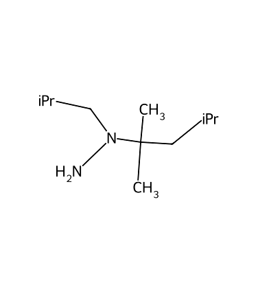 CC(C)CN(N)C(C)(C)CC(C)C